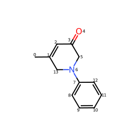 CC1=CC(=O)CN(c2ccccc2)C1